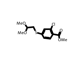 COC(=O)c1ccc(SCC(OC)OC)cc1Cl